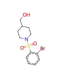 O=S(=O)(c1ccccc1Br)N1CCC(CO)CC1